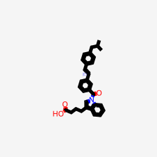 CC(C)Cc1ccc(/C=C/c2cccc(C(=O)n3cc(CCCC(=O)O)c4ccccc43)c2)cc1